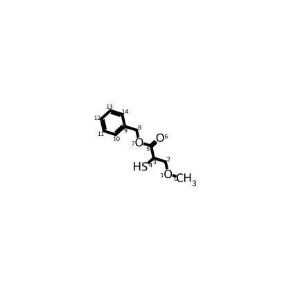 COCC(S)C(=O)OCc1ccccc1